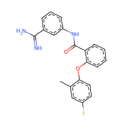 Cc1cc(F)ccc1Oc1ccccc1C(=O)Nc1cccc(C(=N)N)c1